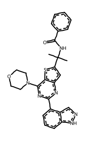 CC(C)(NC(=O)c1ccccc1)c1cc2nc(-c3cccc4[nH]ncc34)nc(N3CCOCC3)c2s1